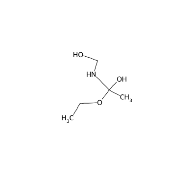 CCOC(C)(O)NCO